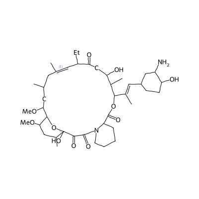 CCC1/C=C(\C)CC(C)CC(OC)C2OC(O)(C(=O)C(=O)N3CCCCC3C(=O)OC(C(C)=CC3CCC(O)C(N)C3)C(C)C(O)CC1=O)C(C)CC2OC